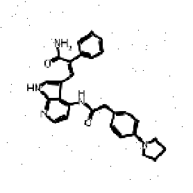 NC(=O)/C(=C\c1c[nH]c2nccc(NC(=O)Cc3ccc(N4CCCC4)cc3)c12)c1ccccc1